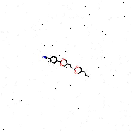 CCC[C@H]1CO[C@H](CCC2COC(c3ccc(C#N)cc3)OC2)OC1